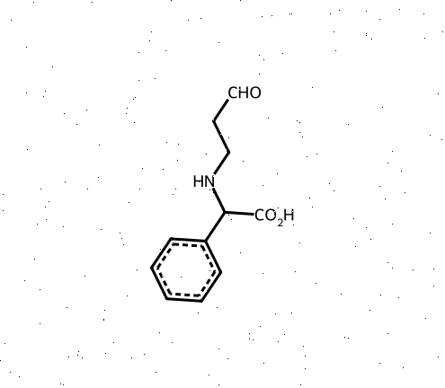 O=CCCNC(C(=O)O)c1ccccc1